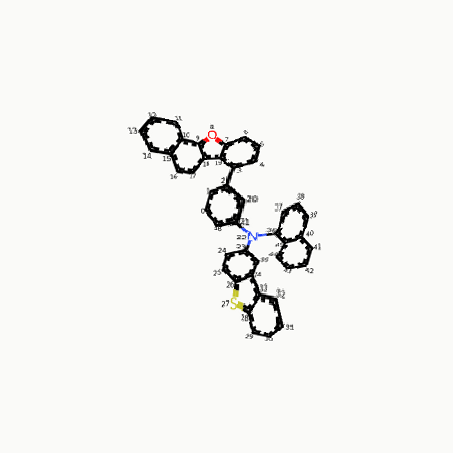 c1cc(-c2cccc3oc4c5ccccc5ccc4c23)cc(N(c2ccc3sc4ccccc4c3c2)c2cccc3ccccc23)c1